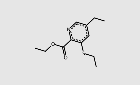 CCOC(=O)c1ncc(CC)cc1SCC